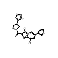 O=C(c1nc2c(C(F)(F)F)cc(-c3ccoc3)cn2c1Cl)N1CCC(c2nnn[nH]2)C1